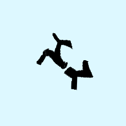 C=C(C)C(=O)OC.C=CC(=C)C